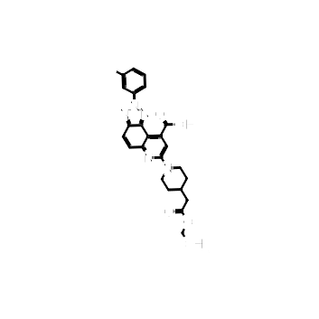 CCOC(=O)CC1CCN(c2cc(C(=O)O)c3c(ccc4nn(-c5cccc(F)c5)nc43)n2)CC1